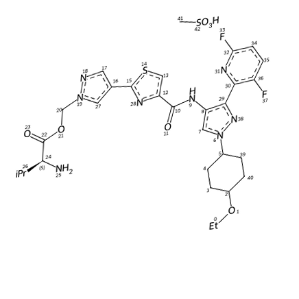 CCOC1CCC(n2cc(NC(=O)c3csc(-c4cnn(COC(=O)[C@@H](N)C(C)C)c4)n3)c(-c3nc(F)ccc3F)n2)CC1.CS(=O)(=O)O